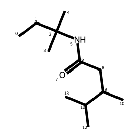 CCC(C)(C)NC(=O)CC(C)C(C)C